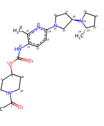 CC(=O)N1CCC(OC(=O)Nc2ccc(N3CC[C@@H](N4CCC[C@@H]4C)C3)nc2C)CC1